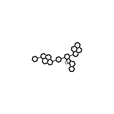 c1ccc(-c2ccc3ccc4c(-c5ccc(-c6ccc(-c7ccc8ccc9cccc%10ccc7c8c9%10)c7c6oc6c8ccccc8ccc67)cc5)ccc5ccc2c3c54)cc1